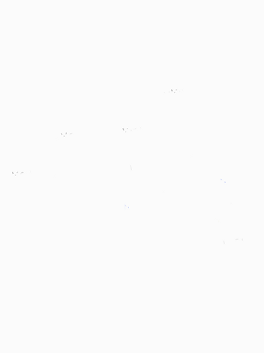 CCCCCCSC(=S)N1CCc2cc(OC)c(OC)cc2C1CC(CC)CN1CCc2cc(OC)c(OC)cc2C1CC